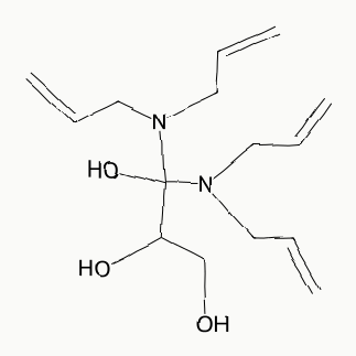 C=CCN(CC=C)C(O)(C(O)CO)N(CC=C)CC=C